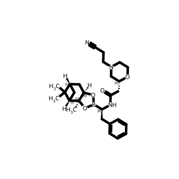 CC1(C)[C@@H]2C[C@H]3OB([C@H](Cc4ccccc4)NC(=O)C[C@@H]4CN(CCC#N)CCO4)O[C@@]3(C)[C@H]1C2